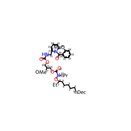 CCCCCCCCCCCCCCCC(CC)ON(CCC)C(=O)OCC(COC(=O)NCC1=CC=CCN1C(=O)c1ccccc1OC)OC